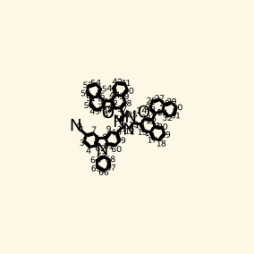 N#Cc1ccc2c(c1)c1cc(-c3nc(-c4cc5ccccc5c5c4oc4ccc6ccccc6c45)nc(-c4cc5ccccc5c5c4oc4ccc6ccccc6c45)n3)ccc1n2-c1ccccc1